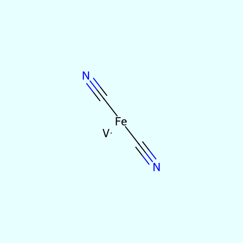 N#[C][Fe][C]#N.[V]